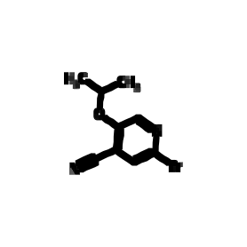 CC(C)Oc1cnc(Br)cc1C#N